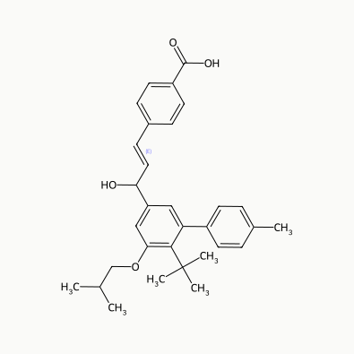 Cc1ccc(-c2cc(C(O)/C=C/c3ccc(C(=O)O)cc3)cc(OCC(C)C)c2C(C)(C)C)cc1